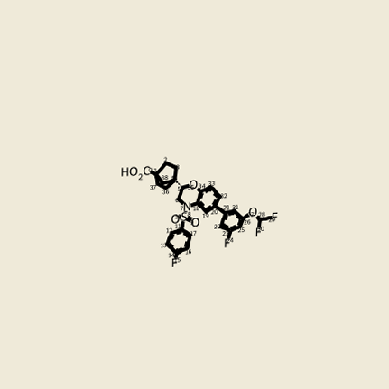 O=C(O)C12CCC([C@H]3CN(S(=O)(=O)c4ccc(F)cc4)c4cc(-c5cc(F)cc(OC(F)F)c5)ccc4O3)(CC1)C2